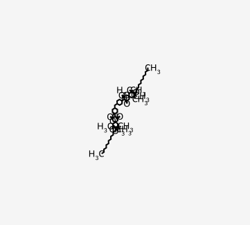 CCCCCCCCCCCON1C(C)(C)CC2(CC(=O)N(C3CCC(CC4CCC(N5C(=O)CC6(CC(C)(C)N(OCCCCCCCCCCC)C(C)(C)C6)OC5=O)CC4)CC3)C(=O)O2)CC1(C)C